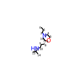 CCCN1CCO[C@H](CCCNC(C)C)C1